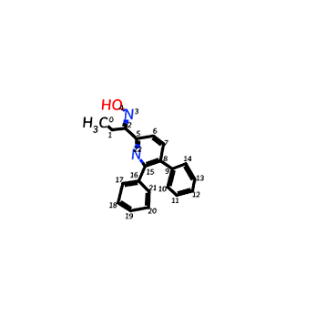 CC/C(=N\O)c1ccc(-c2ccccc2)c(-c2ccccc2)n1